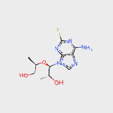 C[C@H](CO)O[C@H]([C@@H](C)O)n1cnc2c(N)nc(F)nc21